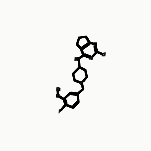 CCOc1cc(CN2CCC(Nc3nc(Cl)nc4c3CCC4)CC2)ccc1F